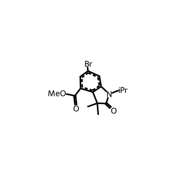 COC(=O)c1cc(Br)cc2c1C(C)(C)C(=O)N2C(C)C